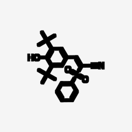 CC(C)(C)c1cc(C=C(C#N)S(=O)(=O)c2ccccc2)cc(C(C)(C)C)c1O